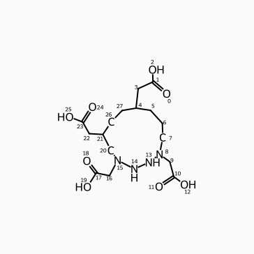 O=C(O)CC1CCCN(CC(=O)O)NNN(CC(=O)O)CC(CC(=O)O)CC1